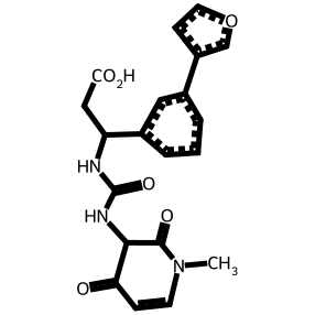 CN1C=CC(=O)C(NC(=O)NC(CC(=O)O)c2cccc(-c3ccoc3)c2)C1=O